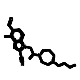 CCCCN1CCCN(C(C)Cn2c(C#N)cc3c(C)c(C=O)ccc32)CC1